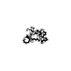 CC(C)C(NC(=O)C(C(C)C)N(C)C)C(=O)N(C)C(C(=O)N1CCCC1C(=O)N1CCCC1C(=O)NCCCCC(=O)N[C@H]1CCCCCCC2C[C@@H]21)C(C)C